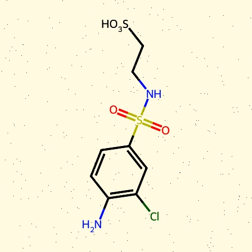 Nc1ccc(S(=O)(=O)NCCS(=O)(=O)O)cc1Cl